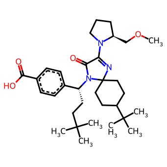 COC[C@@H]1CCCN1C1=NC2(CCC(C(C)(C)C)CC2)N([C@H](CCC(C)(C)C)c2ccc(C(=O)O)cc2)C1=O